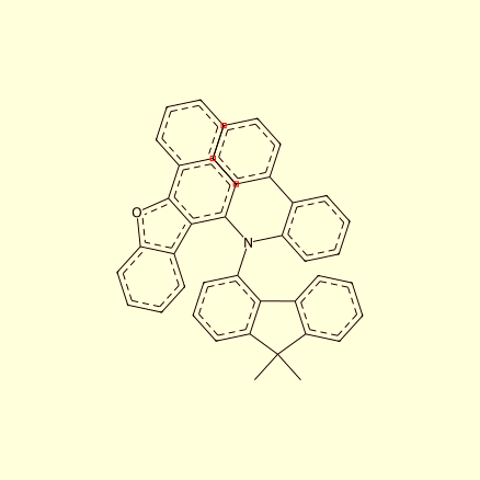 CC1(C)c2ccccc2-c2c(N(c3ccccc3-c3ccccc3)c3cc4ccccc4c4oc5ccccc5c34)cccc21